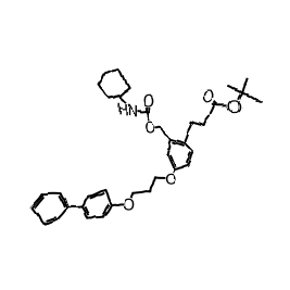 CC(C)(C)OC(=O)CCc1ccc(OCCCOc2ccc(-c3ccccc3)cc2)cc1COC(=O)NC1CCCCC1